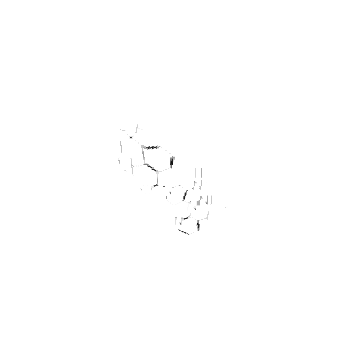 NC1=C(N(N)c2ncccc2F)CCN(C(=O)c2cccc(C(F)(F)F)c2Cl)C1